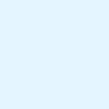 C=C(Cc1nc(-c2ccc(OCCC)c(Cl)c2)no1)C(=O)O